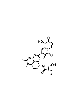 Cc1c(F)cc2nc3c(c4c2c1SCC4NC(=O)C1(CO)CCC1)Cn1c-3cc2c(c1=O)COC(=O)C2O